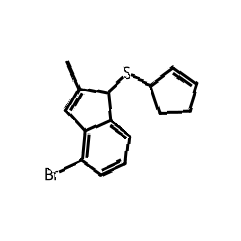 CC1=Cc2c(Br)cccc2C1SC1C=CCC1